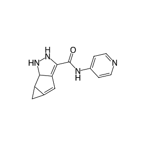 O=C(Nc1ccncc1)C1=C2C=C3CC3C2NN1